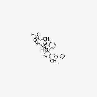 Cc1cccc(-c2ccccc2S(=O)(=O)Nc2noc(C)c2C)c1COC1CCC1